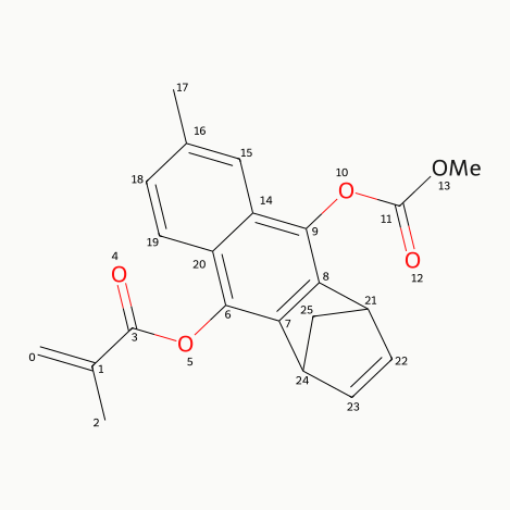 C=C(C)C(=O)Oc1c2c(c(OC(=O)OC)c3cc(C)ccc13)C1C=CC2C1